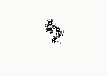 COc1cc2c(cc1O)N(C(=O)OCc1ccc(NCC(=O)[C@H](C)NCC(=O)[C@@H](N)C(C)C)cc1)[C@@H](O[Si](C)(C)C(C)(C)C)[C@@H]1CC(C)=CN1C2=O